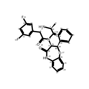 C[C@H](N)C(=O)N(C(=O)Cc1cc(F)cc(F)c1)[C@@H]1C(=O)Nc2ccccc2O[C@@H]1c1ccccc1